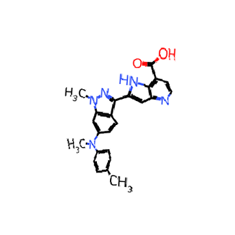 Cc1ccc(N(C)c2ccc3c(-c4cc5nccc(C(=O)O)c5[nH]4)nn(C)c3c2)cc1